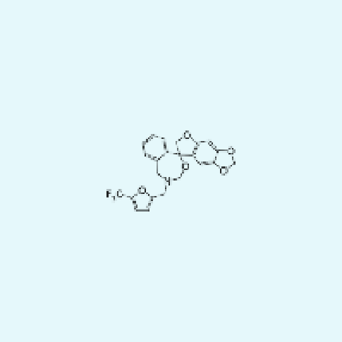 FC(F)(F)c1ccc(CN2COC3(COc4cc5c(cc43)OCO5)c3ccccc3C2)o1